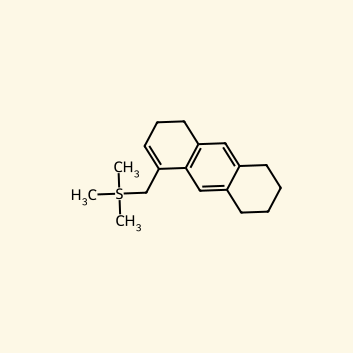 CS(C)(C)CC1=CCCc2cc3c(cc21)CCCC3